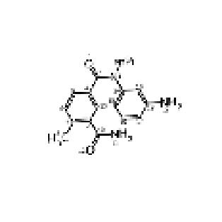 CCCN(C(=O)c1ccc(C)c(C(N)=O)c1)c1cccc(N)c1